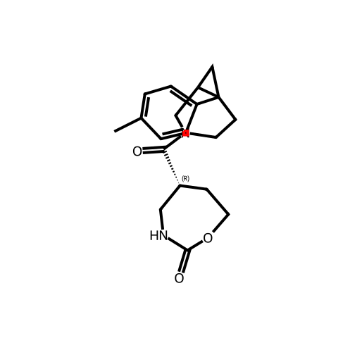 Cc1ccc(C23CCN(C(=O)[C@@H]4CCOC(=O)NC4)CC2C3)cc1